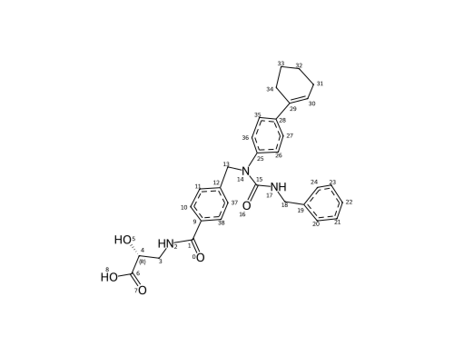 O=C(NC[C@@H](O)C(=O)O)c1ccc(CN(C(=O)NCc2ccccc2)c2ccc(C3=CCCCC3)cc2)cc1